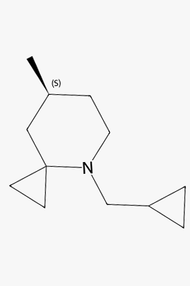 C[C@H]1CCN(CC2CC2)C2(CC2)C1